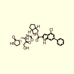 O=C(CO)C(C[C@@H]1CCNC1=O)NC(=O)[C@@H]1[C@H]2CCC[C@H]2CN1C(=O)c1cc2c(Cl)cc(-c3ccccc3)cc2[nH]1